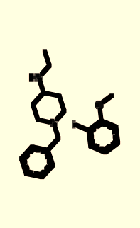 CCNC1CCN(Cc2ccccc2)CC1.COc1ccccc1I